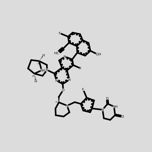 C#Cc1c(F)ccc2cc(O)cc(-c3ncc4c(N5C[C@H]6CC[C@@H](C5)N6)nc(OC[C@@H]5CCCCN5Cc5ccc(N6CCC(=O)NC6=O)cc5F)nc4c3F)c12